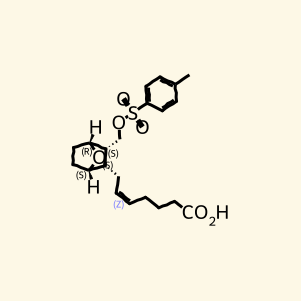 Cc1ccc(S(=O)(=O)OC[C@@H]2[C@H](C/C=C\CCCC(=O)O)[C@@H]3CC[C@H]2O3)cc1